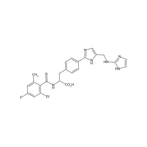 CCc1cc(F)cc(C)c1C(=O)NC(Cc1ccc(-c2ncc(CNc3ncc[nH]3)[nH]2)cc1)C(=O)O